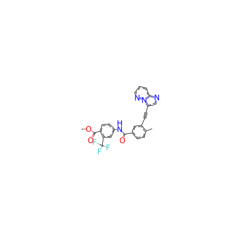 COC(=O)c1ccc(NC(=O)c2ccc(C)c(C#Cc3cnc4cccnn34)c2)cc1C(F)(F)F